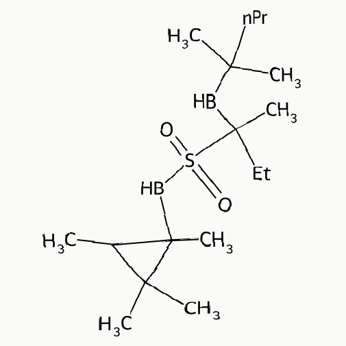 CCCC(C)(C)BC(C)(CC)S(=O)(=O)BC1(C)C(C)C1(C)C